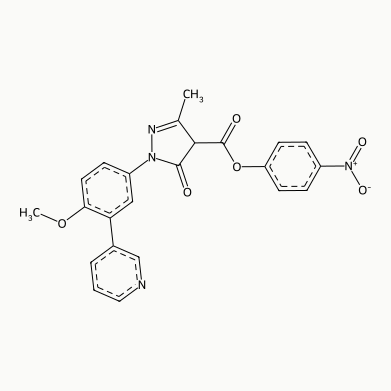 COc1ccc(N2N=C(C)C(C(=O)Oc3ccc([N+](=O)[O-])cc3)C2=O)cc1-c1cccnc1